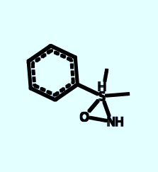 C[SH]1(C)(c2ccccc2)NO1